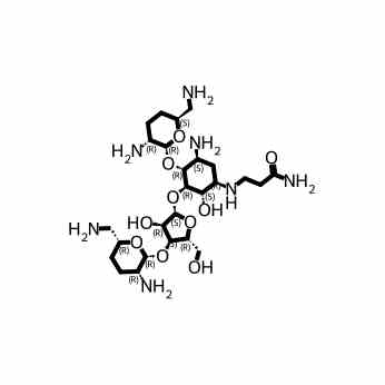 NC[C@@H]1CC[C@@H](N)[C@@H](O[C@H]2[C@H](O[C@@H]3O[C@H](CO)[C@@H](O[C@H]4O[C@@H](CN)CC[C@H]4N)[C@H]3O)[C@@H](O)[C@H](NCCC(N)=O)C[C@@H]2N)O1